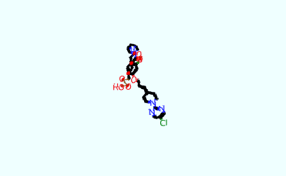 O=C(CCCCS(=O)(=O)O)N1CC2CC(C1)N2C(=O)Cc1ccc(OCCCC2CCN(c3ncc(Cl)cn3)CC2)cc1F